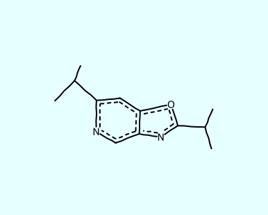 CC(C)c1cc2oc(C(C)C)nc2cn1